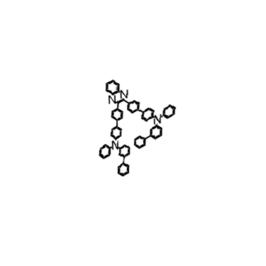 c1ccc(-c2cccc(N(c3ccccc3)c3ccc(-c4ccc(-c5nc6ccccc6nc5-c5ccc(-c6ccc(N(c7ccccc7)c7cccc(-c8ccccc8)c7)cc6)cc5)cc4)cc3)c2)cc1